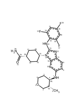 C[C@@H]1COCC[C@H]1Nc1ncc2nc(Nc3c(F)cc(F)cc3F)n([C@H]3CC[C@@H](C(N)=O)CC3)c2n1